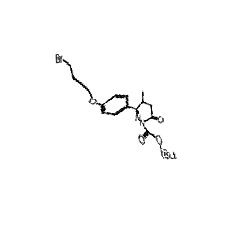 CC1CC(=O)N(C(=O)OC(C)(C)C)N=C1c1ccc(OCCCBr)cc1